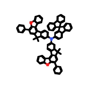 CC1(C)c2cc(N(c3ccc4c(c3)C(C)(C)c3cc(-c5ccccc5)c5oc6ccccc6c5c3-4)c3ccc4c(c3)C3(c5ccccc5-c5ccccc53)c3ccccc3-4)ccc2-c2c1cc(-c1ccccc1)c1oc3ccccc3c21